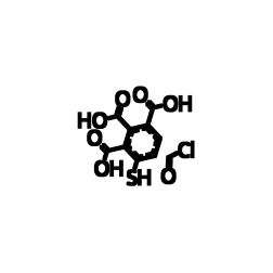 O=C(O)c1ccc(S)c(C(=O)O)c1C(=O)O.O=CCl